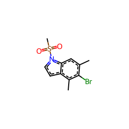 Cc1cc2c(ccn2S(C)(=O)=O)c(C)c1Br